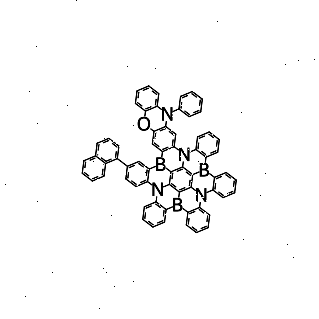 c1ccc(N2c3ccccc3Oc3cc4c(cc32)N2c3ccccc3B3c5ccccc5N5c6ccccc6B6c7ccccc7N7c8ccc(-c9cccc%10ccccc9%10)cc8B4c4c7c6c5c3c42)cc1